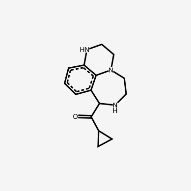 O=C(C1CC1)C1NCCN2CCNc3cccc1c32